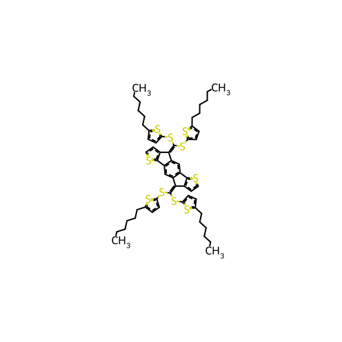 CCCCCCc1ccc(SC(Sc2ccc(CCCCCC)s2)=C2c3cc4c(cc3-c3sccc32)C(=C(Sc2ccc(CCCCCC)s2)Sc2ccc(CCCCCC)s2)c2ccsc2-4)s1